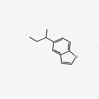 CCC(C)c1ccc2occc2c1